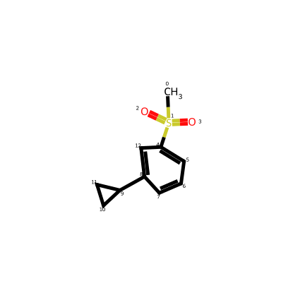 CS(=O)(=O)c1cc[c]c(C2CC2)c1